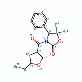 O=C1OC(F)(F)C(c2ccccc2)N1C(=O)C1COC(CBr)C1